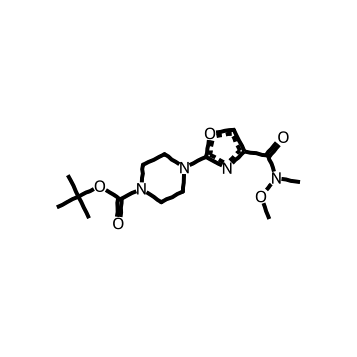 CON(C)C(=O)c1coc(N2CCN(C(=O)OC(C)(C)C)CC2)n1